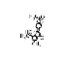 Cc1cc(C(C)O)c2oc(N3CCC4(CC3)CN(C)C(=O)O4)cc(=O)c2c1